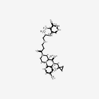 C[C@@H](COCCC(=O)N1CCN2c3ncc(C(F)(F)F)cc3N(CC3(C)CC3)C(=O)[C@@H]2C1)Nc1cn[nH]c(=O)c1C(F)(F)F